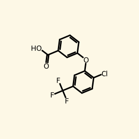 O=C(O)c1cccc(Oc2cc(C(F)(F)F)ccc2Cl)c1